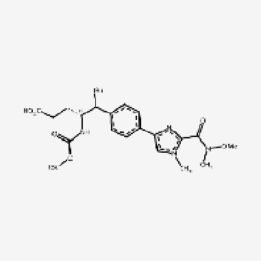 CON(C)C(=O)c1nc(-c2ccc(C([C@@H](CCC(=O)O)NC(=O)OC(C)(C)C)C(C)(C)C)cc2)cn1C